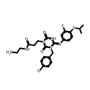 CC(C)Oc1ccc(/N=c2\[nH]c(=O)n(CCC(=O)NCCN)c(=O)n2Cc2ccc(Cl)cc2)cc1F